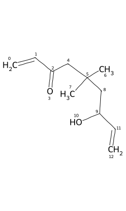 C=CC(=O)CC(C)(C)CC(O)C=C